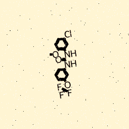 COc1ccc(Cl)cc1NC(=O)Nc1cccc(OC(F)(F)F)c1